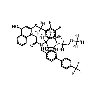 [2H]C([2H])([2H])OCC([2H])([2H])N1C([2H])([2H])C([2H])([2H])C([2H])(N(Cc2ccc(-c3ccc(C(F)(F)F)cc3)cc2)C(=O)CN2C(SC([2H])([2H])c3cccc(F)c3F)=CC(O)c3ccccc32)C([2H])([2H])C1([2H])[2H]